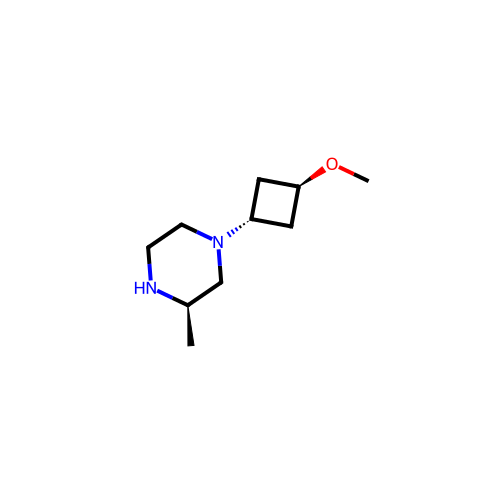 CO[C@H]1C[C@H](N2CCN[C@H](C)C2)C1